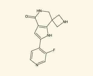 O=C1NCC2(CNC2)c2[nH]c(-c3ccncc3F)cc21